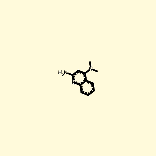 CN(C)c1cc(N)nc2ccccc12